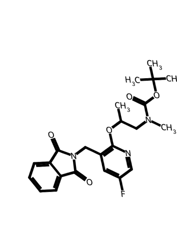 CC(CN(C)C(=O)OC(C)(C)C)Oc1ncc(F)cc1CN1C(=O)c2ccccc2C1=O